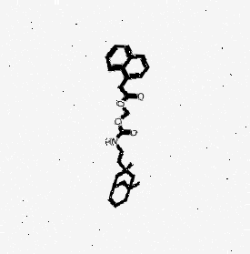 CC12CCCC(C1)CC(C)(CCNC(=O)OCOC(=O)Cc1cccc3ccccc13)C2